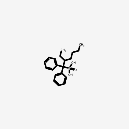 CCCCC(CC)C(c1ccccc1)(c1ccccc1)P(=O)(O)O